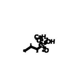 [CH2]CCS(=O)(=O)O.[CaH2]